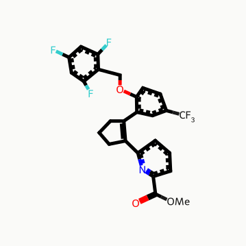 COC(=O)c1cccc(C2=C(c3cc(C(F)(F)F)ccc3OCc3c(F)cc(F)cc3F)CCC2)n1